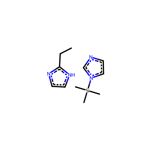 CCc1ncc[nH]1.C[Si](C)(C)n1ccnc1